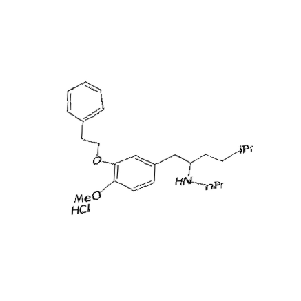 CCCNC(CCC(C)C)Cc1ccc(OC)c(OCCc2ccccc2)c1.Cl